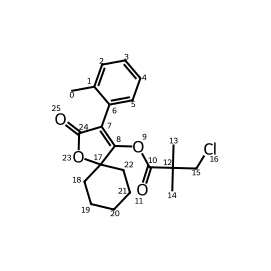 Cc1ccccc1C1=C(OC(=O)C(C)(C)CCl)C2(CCCCC2)OC1=O